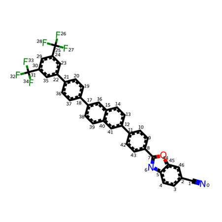 N#Cc1ccc2nc(-c3ccc(-c4ccc5cc(-c6ccc(-c7cc(C(F)(F)F)cc(C(F)(F)F)c7)cc6)ccc5c4)cc3)oc2c1